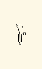 N#CN.[O]